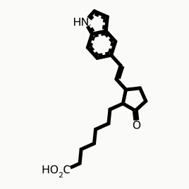 O=C(O)CCCCCCC1C(=O)CCC1C=Cc1ccc2[nH]ccc2c1